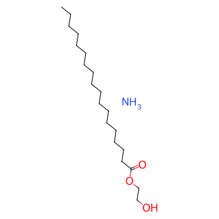 CCCCCCCCCCCCCCCCCC(=O)OCCO.N